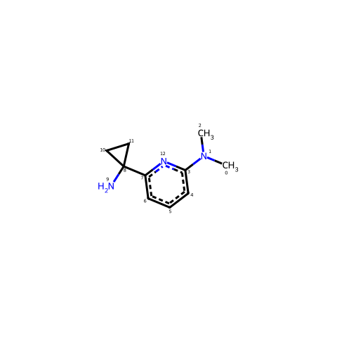 CN(C)c1cccc(C2(N)CC2)n1